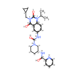 CC(C)n1c(=O)n(CC2CC2)c(=O)c2cc(NC(=O)N3CCC[C@@H](NC(=O)c4ccccn4)C3)ccc21